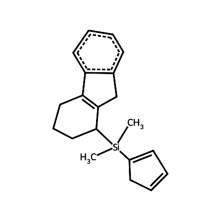 C[Si](C)(C1=CC=CC1)C1CCCC2=C1Cc1ccccc12